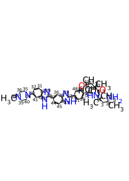 CC(N)CC(C)(C)NC(=O)C(C)(C)CC(C)(C)Oc1cccc(-c2nc3cc(-c4nc5ccc(N6CCN(C)CC6)cc5[nH]4)ccc3[nH]2)c1